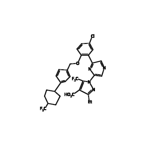 CCc1nn(-c2cncc(-c3cc(Cl)ccc3OCc3ccc(C4CCC(C(F)(F)F)CC4)cc3)n2)c(C(F)(F)F)c1C(=O)O